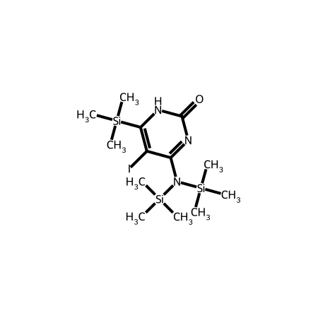 C[Si](C)(C)c1[nH]c(=O)nc(N([Si](C)(C)C)[Si](C)(C)C)c1I